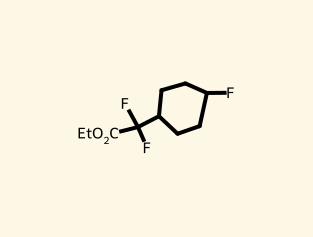 CCOC(=O)C(F)(F)C1CCC(F)CC1